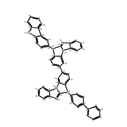 c1ccc(-c2ccc(-n3c4ccc(-c5ccc6c(c5)n5c7ccccc7nc5n6-c5ccc6oc7ccccc7c6c5)cc4n4c5ccccc5nc34)cc2)cc1